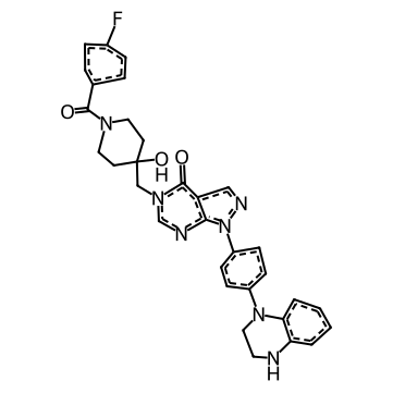 O=C(c1ccc(F)cc1)N1CCC(O)(Cn2cnc3c(cnn3-c3ccc(N4CCNc5ccccc54)cc3)c2=O)CC1